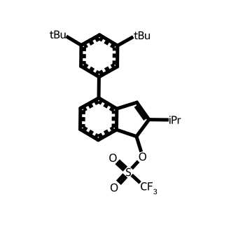 CC(C)C1=Cc2c(-c3cc(C(C)(C)C)cc(C(C)(C)C)c3)cccc2C1OS(=O)(=O)C(F)(F)F